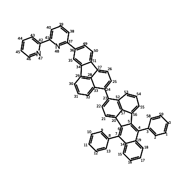 c1ccc(-c2c3c(c(-c4ccccc4)c4ccccc24)-c2ccc(-c4ccc5c6c(cccc46)-c4cc(-c6cccc(-c7ccccn7)n6)ccc4-5)c4cccc-3c24)cc1